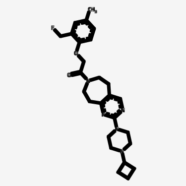 Cc1ccc(OCC(=O)N2CCc3cnc(N4CCN(C5CCC5)CC4)nc3CC2)c(CF)c1